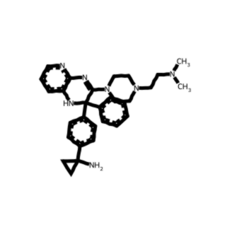 CN(C)CCN1CCN(C2=Nc3ncccc3NC2(c2ccccc2)c2ccc(C3(N)CC3)cc2)CC1